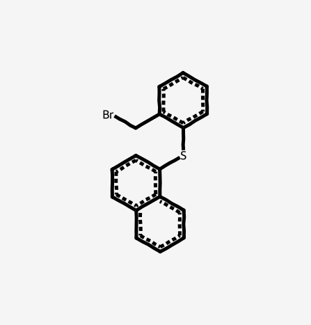 BrCc1ccccc1Sc1cccc2ccccc12